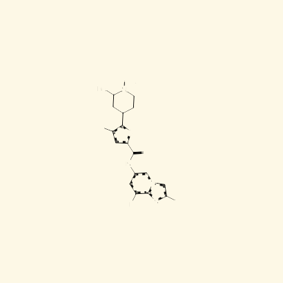 Cc1cn2cc(NC(=O)c3cc(F)c(C4CCN(C(=O)O)C(C(C)(C)C)C4)s3)cc(F)c2n1